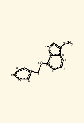 Cc1coc2c(OCc3ccccc3)cccc12